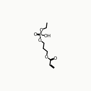 C=CC(=O)OCCCOP(=O)(O)OCC